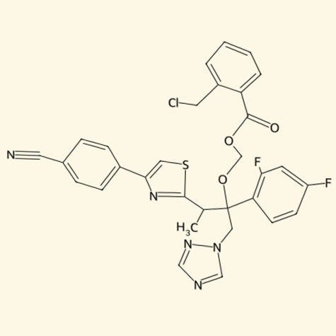 CC(c1nc(-c2ccc(C#N)cc2)cs1)C(Cn1cncn1)(OCOC(=O)c1ccccc1CCl)c1ccc(F)cc1F